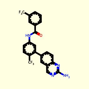 Nc1ncc2cc(-c3cc(NC(=O)c4cccc(C(F)(F)F)c4)ccc3C(F)(F)F)ccc2n1